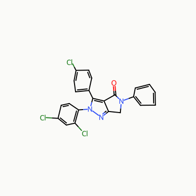 O=C1c2c(nn(-c3ccc(Cl)cc3Cl)c2-c2ccc(Cl)cc2)CN1c1ccccc1